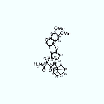 COc1cc2nccc(Oc3ccc(N(C(=O)C4(C(N)=O)CC4)C45CC6CC(CC(C6)C4)C5)cc3)c2cc1OC